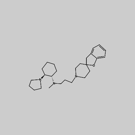 CN(CCCN1CCC2(CC1)Cc1ccccc1O2)[C@H]1CCCC[C@@H]1N1CCCC1